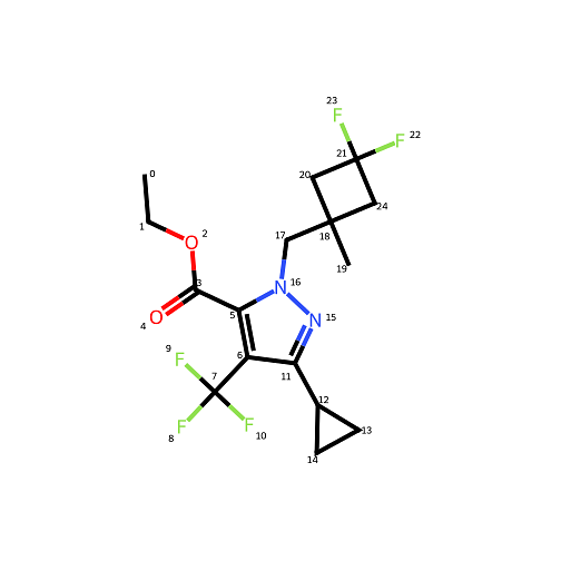 CCOC(=O)c1c(C(F)(F)F)c(C2CC2)nn1CC1(C)CC(F)(F)C1